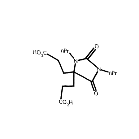 CCCN1C(=O)N(CCC)C(CCC(=O)O)(CCC(=O)O)C1=O